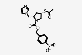 CC(=O)S[C@H]1C[C@@H](Cn2ccnc2)N(C(=O)OCc2ccc([N+](=O)[O-])cc2)C1